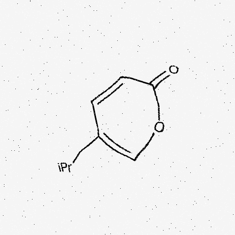 CC(C)c1ccc(=O)oc1